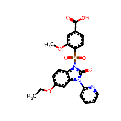 CCOc1ccc2c(c1)n(-c1ccccn1)c(=O)n2S(=O)(=O)c1ccc(C(=O)O)cc1OC